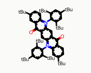 CC(C)(C)c1cc(C(C)(C)C)c(-n2c3ccc(C(C)(C)C)cc3c(=O)c3cc4c(cc32)c(=O)c2ccc(C(C)(C)C)cc2n4-c2c(C(C)(C)C)cc(C(C)(C)C)cc2C(C)(C)C)c(C(C)(C)C)c1